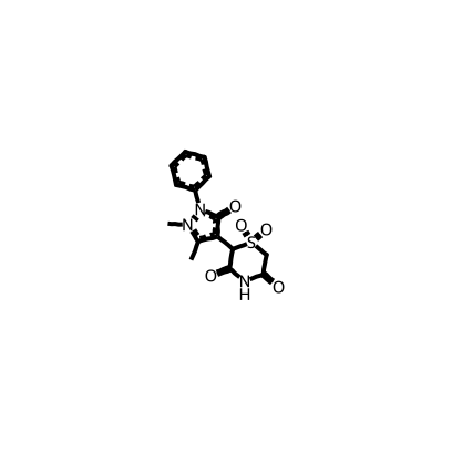 Cc1c(C2C(=O)NC(=O)CS2(=O)=O)c(=O)n(-c2ccccc2)n1C